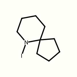 IN1CCCCC12CCCC2